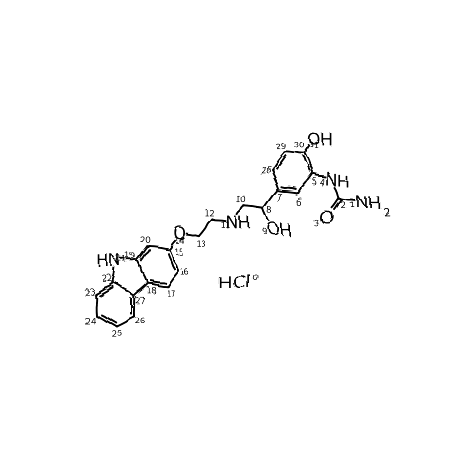 Cl.NC(=O)Nc1cc(C(O)CNCCOc2ccc3c(c2)[nH]c2ccccc23)ccc1O